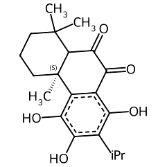 CC(C)c1c(O)c(O)c2c(c1O)C(=O)C(=O)C1C(C)(C)CCC[C@]21C